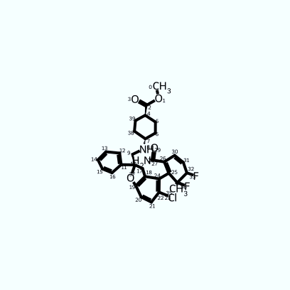 COC(=O)[C@H]1CC[C@H](NC[C@@]2(c3ccccc3)Cc3c(ccc(Cl)c3C3=C(C(N)=O)C=CC(F)C3(C)F)O2)CC1